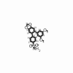 COc1cc(OC)cc(-c2cc3c(cc2-c2ccc(S(N)(=O)=O)cc2)OCO3)c1